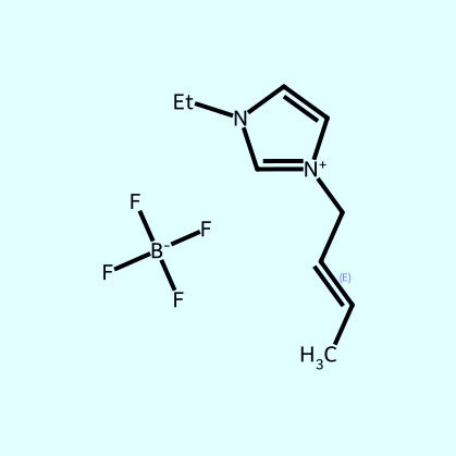 C/C=C/C[n+]1ccn(CC)c1.F[B-](F)(F)F